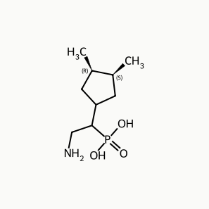 C[C@@H]1CC(C(CN)P(=O)(O)O)C[C@@H]1C